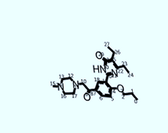 CCCOc1ccc(C(=O)CN2CCN(C)CC2)cc1-c1nc(CC)c(CC)c(=O)[nH]1